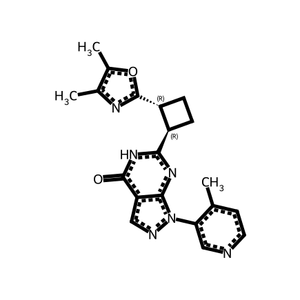 Cc1ccncc1-n1ncc2c(=O)[nH]c([C@@H]3CC[C@H]3c3nc(C)c(C)o3)nc21